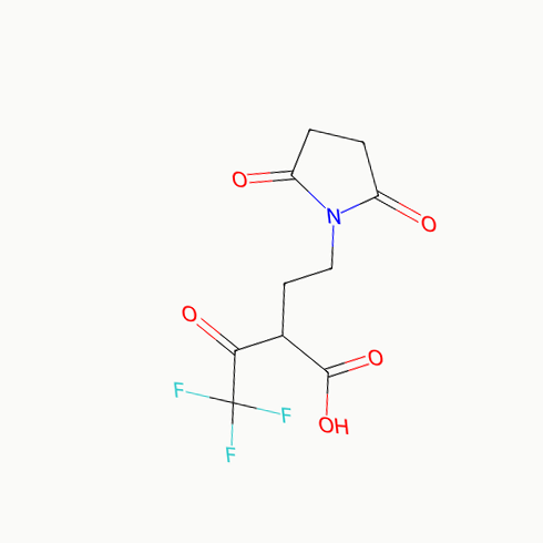 O=C(O)C(CCN1C(=O)CCC1=O)C(=O)C(F)(F)F